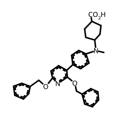 CN(c1ccc(-c2ccc(OCc3ccccc3)nc2OCc2ccccc2)cc1)C1CCC(C(=O)O)CC1